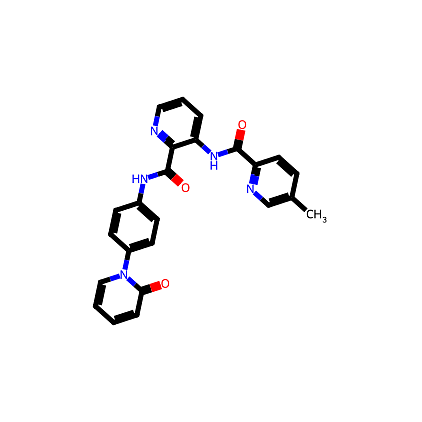 Cc1ccc(C(=O)Nc2cccnc2C(=O)Nc2ccc(-n3ccccc3=O)cc2)nc1